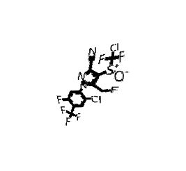 N#Cc1nn(-c2cc(F)c(C(F)(F)F)cc2Cl)c(CF)c1[S+]([O-])C(F)(F)Cl